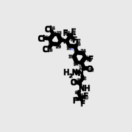 NN(CC(=O)NCC(F)(F)F)C(=O)c1ccc(/C(F)=C/C(c2cc(Cl)c(Cl)c(Cl)c2)C(F)(F)F)cc1F